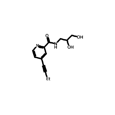 CCC#Cc1ccnc(C(=O)NCC(O)CO)c1